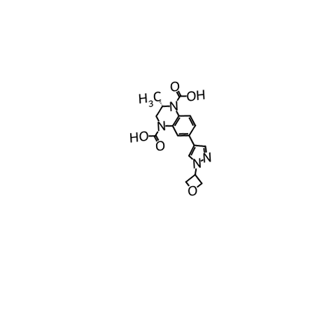 C[C@H]1CN(C(=O)O)c2cc(-c3cnn(C4COC4)c3)ccc2N1C(=O)O